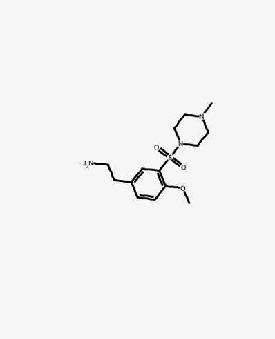 COc1ccc(CCN)cc1S(=O)(=O)N1CCN(C)CC1